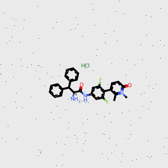 Cc1c(-c2c(F)cc(NC(=O)[C@@H](N)C(c3ccccc3)c3ccccc3)cc2F)ccc(=O)n1C.Cl